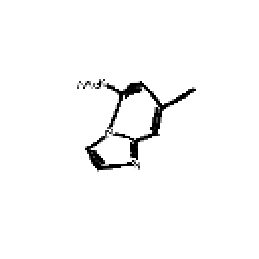 CNc1cc(C)cc2nccn12